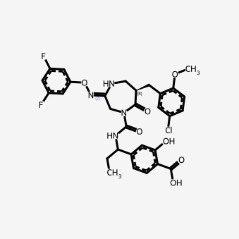 CCC(NC(=O)N1C/C(=N/Oc2cc(F)cc(F)c2)NC[C@@H](Cc2cc(Cl)ccc2OC)C1=O)c1ccc(C(=O)O)c(O)c1